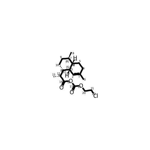 CC1=C[C@H]2[C@@H](CC1)[C@H](C)CC[C@H]2[C@@H](C)C(=O)OC(=O)OCCCl